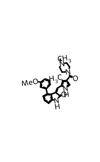 COc1cccc(-c2cccc3c2C(=Cc2[nH]cc(C(=O)N4CCN(C)CC4)c2C)C(=O)N3)c1